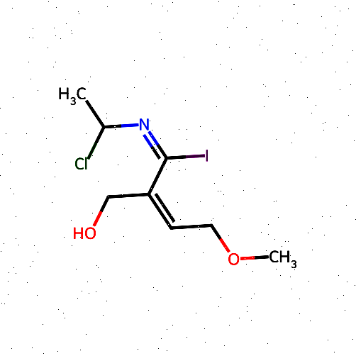 COC/C=C(CO)\C(I)=N/C(C)Cl